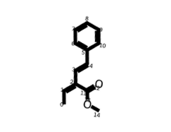 CC=C(C=Cc1ccccc1)C(=O)OC